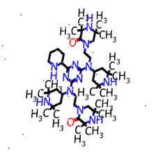 CC1(C)CC(N(CCN2CC(C)(C)NC(C)(C)C2=O)c2nc(C3CCCCN3)nc(N(CCN3CC(C)(C)NC(C)(C)C3=O)C3CC(C)(C)NC(C)(C)C3)n2)CC(C)(C)N1